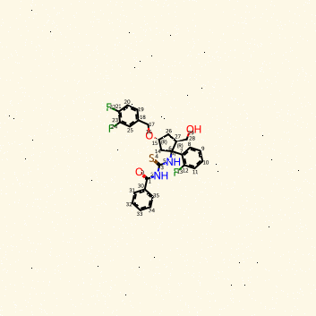 O=C(NC(=S)N[C@@]1(c2ccccc2F)C[C@H](OCc2ccc(F)c(F)c2)C[C@H]1CO)c1ccccc1